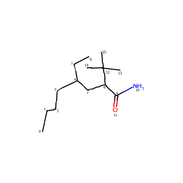 CCCCC(CC)CC(C(N)=O)C(C)(C)C